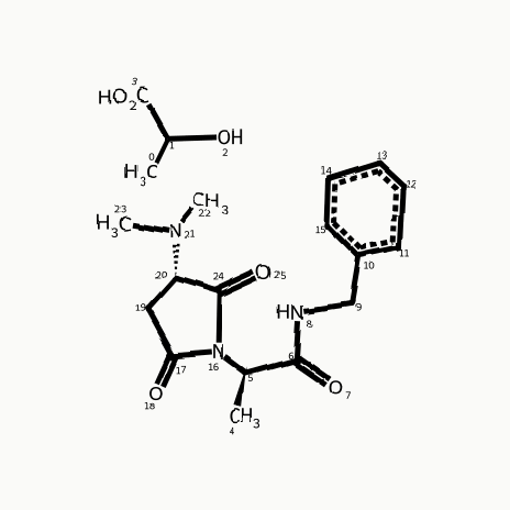 CC(O)C(=O)O.C[C@H](C(=O)NCc1ccccc1)N1C(=O)C[C@H](N(C)C)C1=O